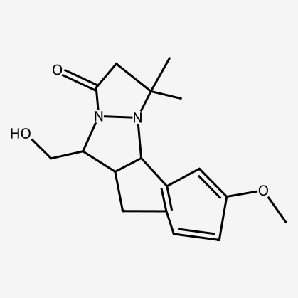 COc1ccc2c(c1)C1C(C2)C(CO)N2C(=O)CC(C)(C)N12